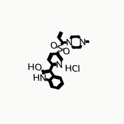 C=CC(N1CCN(C)CC1)S(=O)(=O)c1ccc(-c2c(O)[nH]c3ccccc23)nc1.Cl